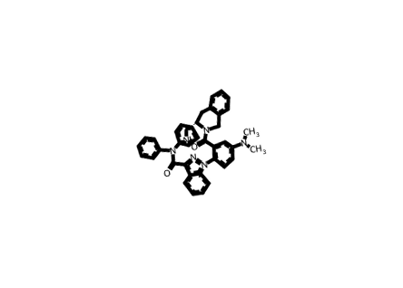 CN(C)c1ccc(-n2nc(C(=O)N(c3ccccc3)c3ccccc3)c3ccccc32)c(C(=O)N2Cc3ccccc3C[C@H]2CN)c1